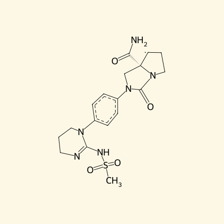 CS(=O)(=O)NC1=NCCCN1c1ccc(N2C[C@@]3(C(N)=O)[CH]CCN3C2=O)cc1